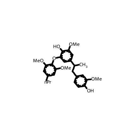 CCCc1cc(OC)c(Oc2cc(C(C)Cc3ccc(O)c(OC)c3)cc(OC)c2O)c(OC)c1